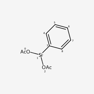 CC(=O)O[Si](OC(C)=O)c1ccccc1